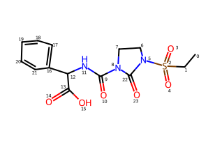 CCS(=O)(=O)N1CCN(C(=O)NC(C(=O)O)c2ccccc2)C1=O